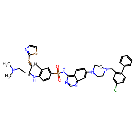 CN(C)CC[C@H](CSc1nccs1)Nc1ccc(S(=O)(=O)Nc2ncnc3cc(N4CCN(Cc5cc(Cl)ccc5-c5ccccc5)CC4)ccc23)cc1[N+](=O)[O-]